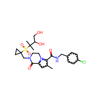 Cc1cc2n(c1C(=O)NCc1ccc(Cl)cc1)CCN(CC1(S(=O)(=O)C(C)(C)C(O)CO)CC1)C2=O